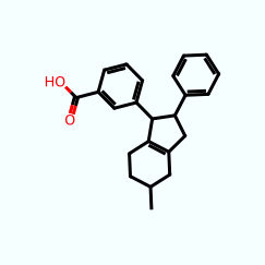 CC1CCC2=C(C1)CC(c1ccccc1)C2c1cccc(C(=O)O)c1